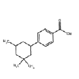 CC1CC(c2ccc(C(=O)O)cc2)CC(C)(C)C1